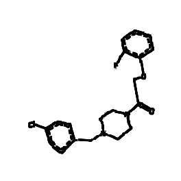 O=C(COc1ccccc1F)N1CCN(Cc2ccc(Cl)cc2)CC1